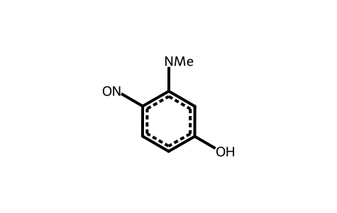 CNc1cc(O)ccc1N=O